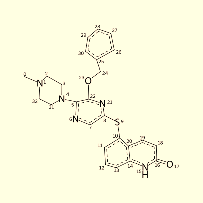 CN1CCN(c2ncc(Sc3cccc4[nH]c(=O)ccc34)nc2OCc2ccccc2)CC1